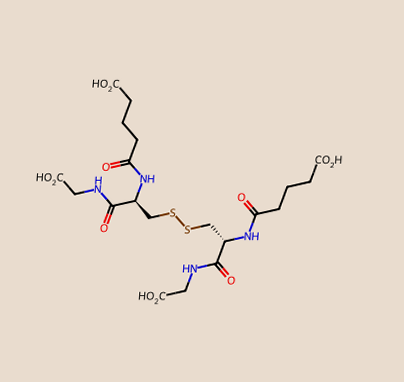 O=C(O)CCCC(=O)N[C@@H](CSSC[C@H](NC(=O)CCCC(=O)O)C(=O)NCC(=O)O)C(=O)NCC(=O)O